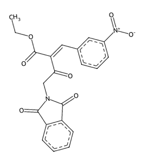 CCOC(=O)/C(=C/c1cccc([N+](=O)[O-])c1)C(=O)CN1C(=O)c2ccccc2C1=O